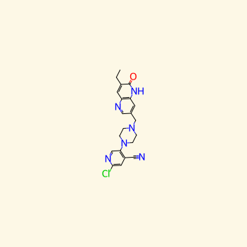 CCc1cc2ncc(CN3CCN(c4cnc(Cl)cc4C#N)CC3)cc2[nH]c1=O